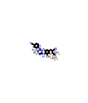 C=N/C(=N\C(=C/C)Nc1c(C)cc(/C=C(/C#N)C(=O)C(C)(C)C)cc1C)Nc1ccc(C#N)cc1